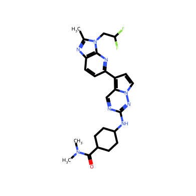 Cc1nc2ccc(-c3ccn4nc(NC5CCC(C(=O)N(C)C)CC5)ncc34)nc2n1CC(F)F